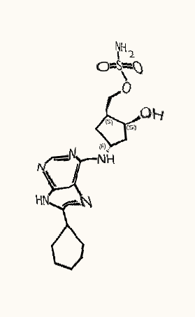 NS(=O)(=O)OC[C@@H]1C[C@@H](Nc2ncnc3[nH]c(C4CCCCC4)nc23)C[C@@H]1O